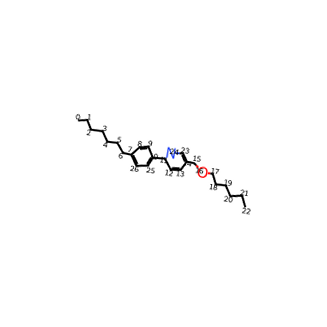 CCCCCCCc1ccc(-c2ccc(COCCCCCC)cn2)cc1